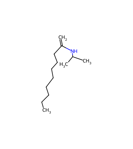 C=C(CCCCCCCC)NC(C)C